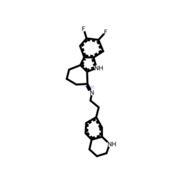 Fc1cc2[nH]c3c(c2cc1F)CCC/C3=N\CCc1ccc2c(c1)NCCC2